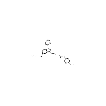 COC(=O)c1ccc2c(c1)c(C=CCCC(=O)Nc1ccc(C(C)C)cc1)cn2-c1ccccc1